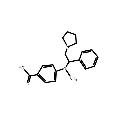 CN(c1ccc(C(=O)O)cc1)C(CN1CCCC1)c1ccccc1